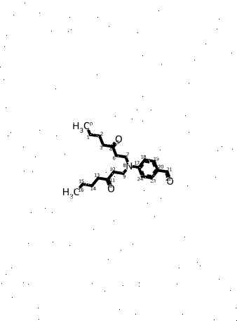 CCCCC(=O)CCN(CCC(=O)CCCC)c1ccc(C=O)cc1